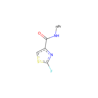 CCCNC(=O)c1csc(F)n1